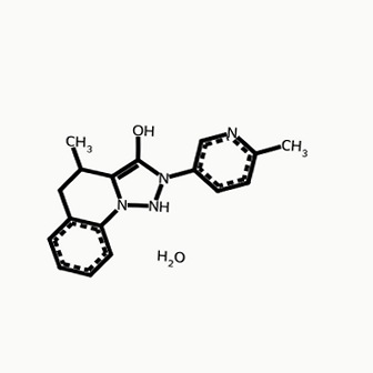 Cc1ccc(N2NN3C(=C2O)C(C)Cc2ccccc23)cn1.O